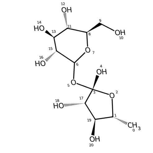 C[C@H]1O[C@@](O)(OC2O[C@H](CO)[C@@H](O)[C@H](O)[C@H]2O)[C@@H](O)[C@@H]1O